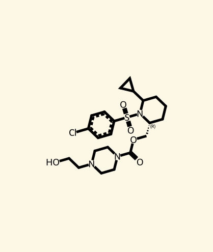 O=C(OC[C@H]1CCCC(C2CC2)N1S(=O)(=O)c1ccc(Cl)cc1)N1CCN(CCO)CC1